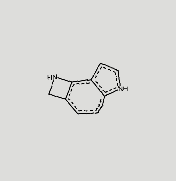 c1cc2c3c(ccc2[nH]1)CN3